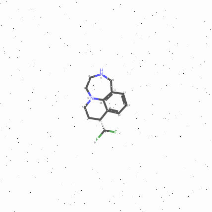 FC(F)[C@@H]1CCN2CCNCc3cccc1c32